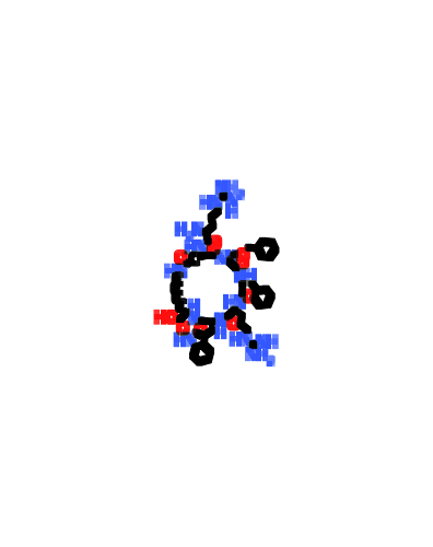 N=C(N)NCCCC(N)C(=O)N[C@H]1CC(=O)NCCCCC(C(=O)O)NC(=O)[C@H](Cc2c[nH]c3ccccc23)NC(=O)[C@H](CCCNC(=N)N)NC(=O)[C@@H](Cc2ccccc2)NC(=O)[C@H](COCc2ccccc2)NC1=O